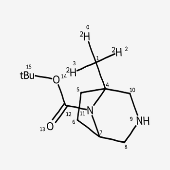 [2H]C([2H])([2H])C12CCC(CNC1)N2C(=O)OC(C)(C)C